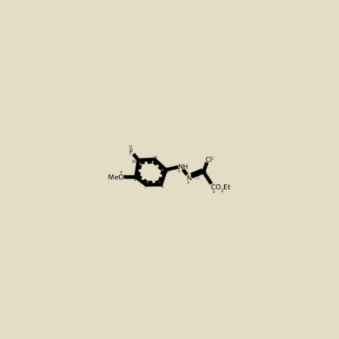 CCOC(=O)/C(Cl)=N/Nc1ccc(OC)c(F)c1